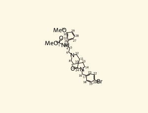 COC(=O)NC(CCN1CCC2(CC1)CCN(Cc1ccc(Br)cc1)C2=O)c1cccc(OC)c1